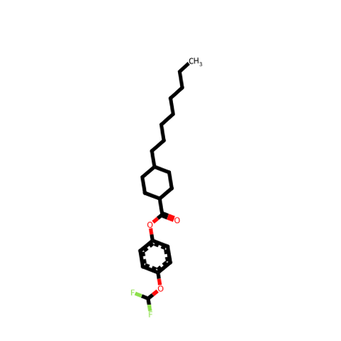 CCCCCCCCC1CCC(C(=O)Oc2ccc(OC(F)F)cc2)CC1